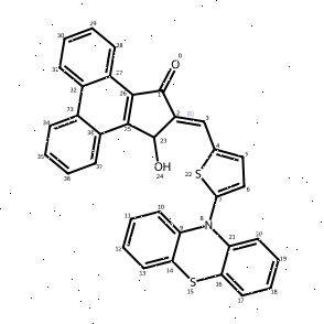 O=C1/C(=C/c2ccc(N3c4ccccc4Sc4ccccc43)s2)C(O)c2c1c1ccccc1c1ccccc21